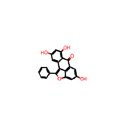 O=C1c2c(O)cc(O)cc2-c2c(-c3ccccc3)oc3cc(O)cc1c23